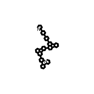 c1ccc(-c2ccc(-c3ccc(-c4cc5c6c(ccc(-c7ccc8c(c7)-c7cc(-c9ccc(-c%10ccccc%10-c%10ccccn%10)cc9)cc9cccc-8c79)c6c4)-c4ccccc4-5)cc3)cc2)nc1